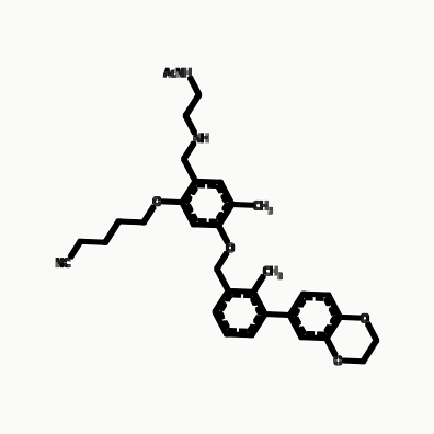 CC(=O)NCCNCc1cc(C)c(OCc2cccc(-c3ccc4c(c3)OCCO4)c2C)cc1OCCCCC#N